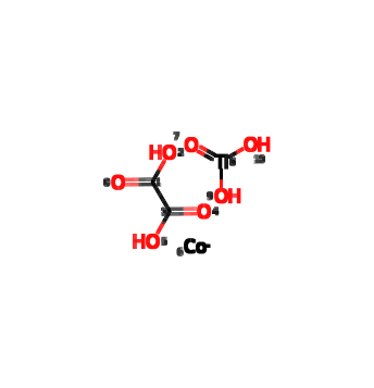 O=C(O)C(=O)O.[Co].[O]=[Ti]([OH])[OH]